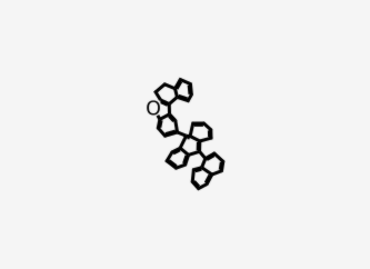 c1ccc2c(c1)CCc1oc3ccc(-c4c5ccccc5c(-c5cccc6ccccc56)c5ccccc45)cc3c1-2